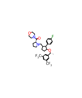 C[C@@H](OC1CCC(CN2CCC[C@H]2C(=O)N2CCOCC2)C1c1ccc(F)cc1)c1cc(C(F)(F)F)cc(C(F)(F)F)c1